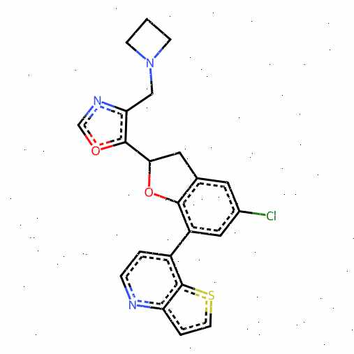 Clc1cc2c(c(-c3ccnc4ccsc34)c1)OC(c1ocnc1CN1CCC1)C2